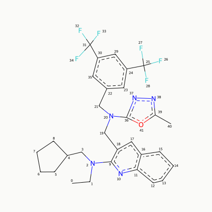 CCN(CC1CCCC1)c1nc2ccccc2cc1CN(Cc1cc(C(F)(F)F)cc(C(F)(F)F)c1)c1nnc(C)o1